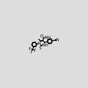 CC1=C(C(N)=O)C(c2ccc(C#N)cc2)NC(=S)N1c1cccc(C(F)(F)F)c1